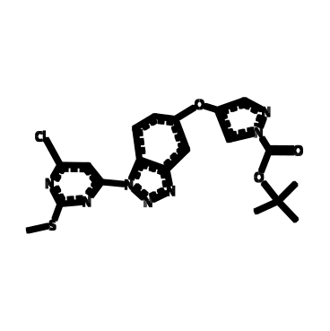 CSc1nc(Cl)cc(-n2nnc3cc(Oc4cnn(C(=O)OC(C)(C)C)c4)ccc32)n1